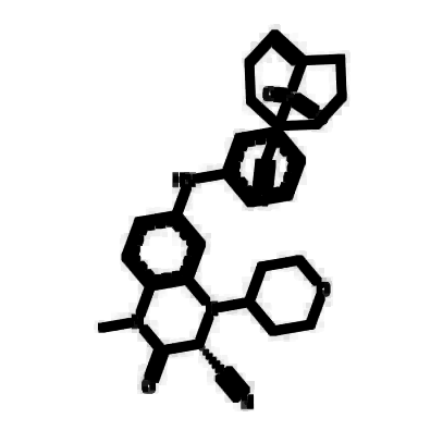 CN1C(=O)[C@@H](C#N)N(C2CCOCC2)c2cc(Nc3cccc(S(=O)(=O)/C4=C\CCC(C#N)CCC4)c3)ccc21